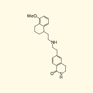 COc1cccc2c1CCCC2CCNCCc1ccc2c(c1)CC[SH]C2=O